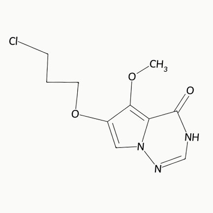 COc1c(OCCCCl)cn2nc[nH]c(=O)c12